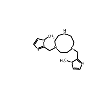 Cn1ccnc1CN1CCNCCN(Cc2nccn2C)CC1